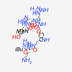 CC[C@H](C)[C@H](N)C(=O)N[C@@H](CCCCN)C(=O)NCCc1c[nH]c2ccc(OCC(=O)N[C@@H](CCCNC(=N)N)C(=O)N[C@@H](Cc3c[nH]cn3)C(=O)N[C@@H](Cc3ccc(O)cc3)C(=O)NC)cc12